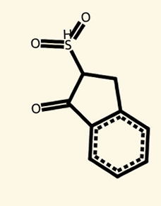 O=C1c2ccccc2CC1[SH](=O)=O